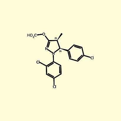 C[C@@H]1C(OC(=O)O)=NN(c2ccc(Cl)cc2Cl)[C@@H]1c1ccc(Cl)cc1